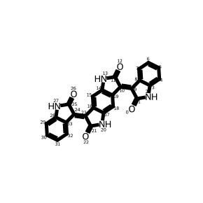 O=C1Nc2ccccc2/C1=C1\C(=O)Nc2cc3c(cc21)NC(=O)/C3=C1/C(=O)Nc2ccccc21